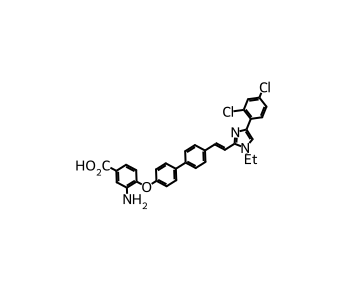 CCn1cc(-c2ccc(Cl)cc2Cl)nc1C=Cc1ccc(-c2ccc(Oc3ccc(C(=O)O)cc3N)cc2)cc1